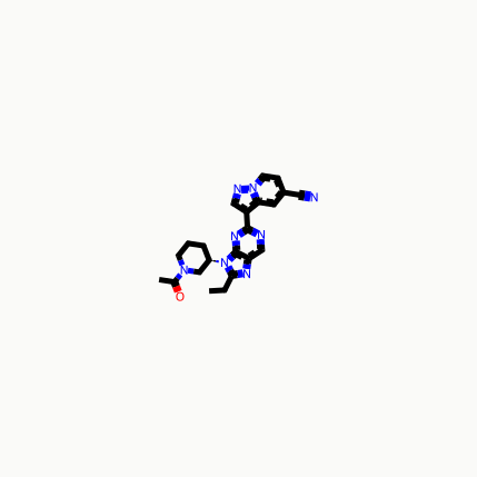 CCc1nc2cnc(-c3cnn4ccc(C#N)cc34)nc2n1[C@H]1CCCN(C(C)=O)C1